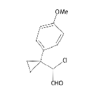 COc1ccc(C2(C(Cl)C=O)CC2)cc1